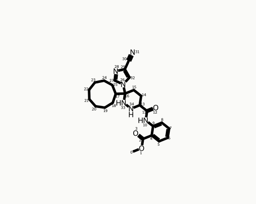 COC(=O)c1ccccc1NC(=O)C1CCC(C2CCCCCCCC2)(n2cnc(C#N)c2)NN1